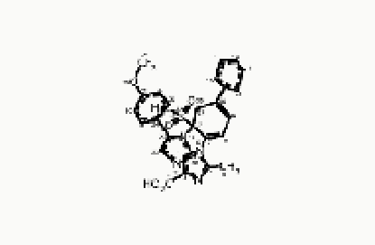 Cc1nc(C(=O)O)cn1C1=CC=C(c2ccccc2)CC1(n1nncc1-c1ccc(OC(F)(F)F)cc1)S(C)(=O)=O